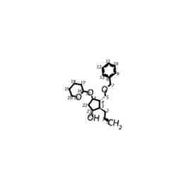 C=CC[C@@H]1[C@@H](COCc2ccccc2)[C@H](OC2CCCCO2)C[C@@H]1O